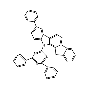 c1ccc(-c2ccc3c(c2)c2ccc4c(c2n3-c2nc(-c3ccccc3)nc(-c3ccccc3)n2)Cc2ccccc2-4)cc1